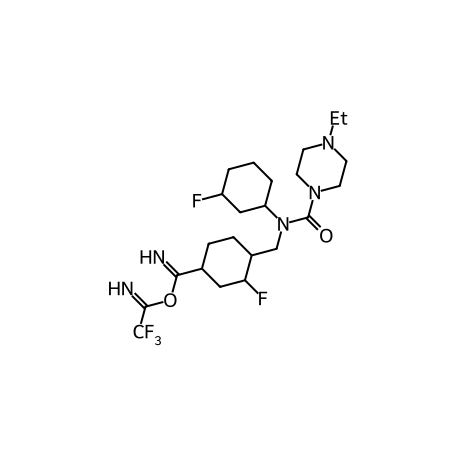 CCN1CCN(C(=O)N(CC2CCC(C(=N)OC(=N)C(F)(F)F)CC2F)C2CCCC(F)C2)CC1